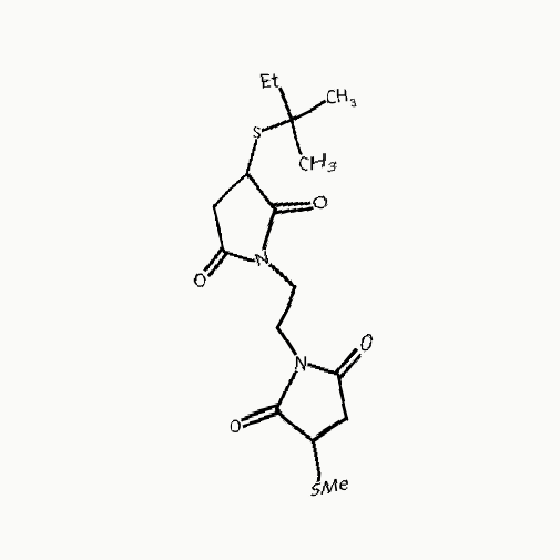 CCC(C)(C)SC1CC(=O)N(CCN2C(=O)CC(SC)C2=O)C1=O